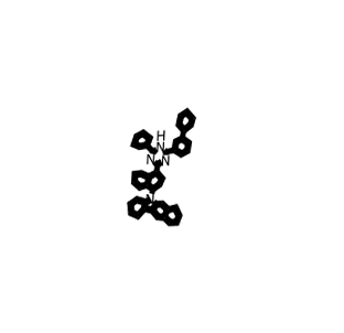 c1ccc(C2=NC(c3ccc(-n4c5ccccc5c5cc6ccccc6cc54)c4ccccc34)=NC(c3cccc(-c4ccccc4)c3)N2)cc1